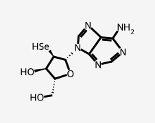 Nc1ncnc2c1ncn2[C@@H]1O[C@H](CO)[C@@H](O)[C@H]1[SeH]